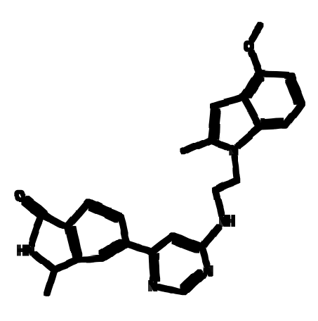 COc1cccc2c1cc(C)n2CCNc1cc(-c2ccc3c(c2)C(C)NC3=O)ncn1